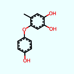 Cc1cc(O)c(O)cc1Oc1ccc(O)cc1